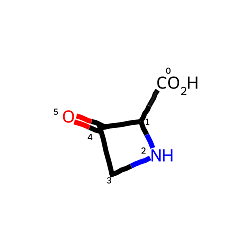 O=C(O)C1NCC1=O